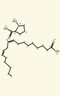 CCCCC/C=C\C/C=C\CCCCCCCC(=O)O.O=C(O)C1CCCN1O